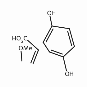 C=CC(=O)O.COC.Oc1ccc(O)cc1